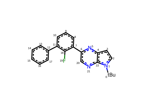 CC(C)(C)n1ccc2nc(-c3cccc(-c4ccccc4)c3F)cnc21